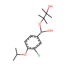 CC(C)Oc1ccc(B(O)OC(C)(C)C(C)(C)O)cc1F